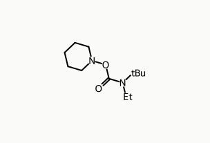 CCN(C(=O)ON1CCCCC1)C(C)(C)C